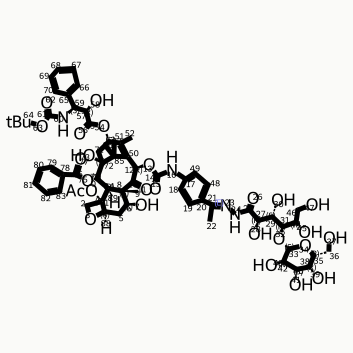 CC(=O)O[C@@]12CO[C@@H]1C[C@H](O)[C@@]1(C)C(=O)[C@H](OC(=O)Nc3ccc(/C(C)=N/NC(=O)[C@H](O)[C@H](O)[C@H](O[C@@H]4O[C@H](CO)[C@H](O)[C@H](O)[C@H]4O)[C@H](O)CO)cc3)C3=C(C)[C@@H](OC(=O)[C@H](O)[C@@H](NC(=O)OC(C)(C)C)c4ccccc4)C[C@@](O)([C@@H](OC(=O)c4ccccc4)[C@H]21)C3(C)C